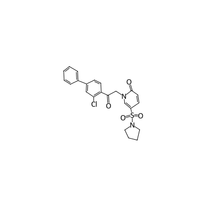 O=C(Cn1cc(S(=O)(=O)N2CCCC2)ccc1=O)c1ccc(-c2ccccc2)cc1Cl